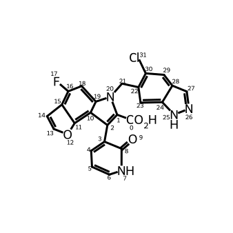 O=C(O)c1c(-c2ccc[nH]c2=O)c2c3occc3c(F)cc2n1Cc1cc2[nH]ncc2cc1Cl